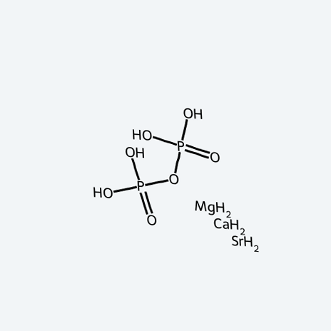 O=P(O)(O)OP(=O)(O)O.[CaH2].[MgH2].[SrH2]